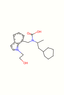 CC(CC1CCCCC1)N(Cc1cccc2ccn(CCO)c12)C(=O)O